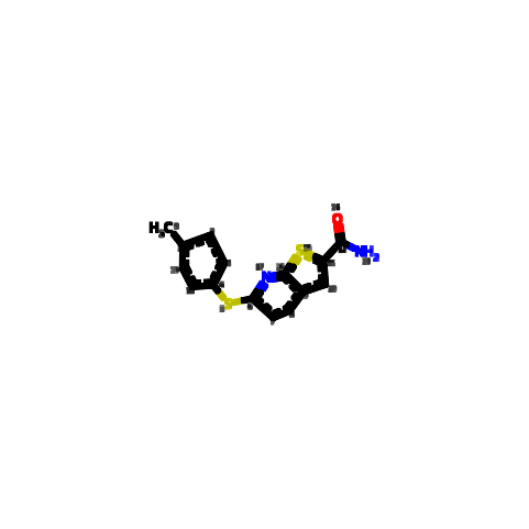 Cc1ccc(Sc2ccc3cc(C(N)=O)sc3n2)cc1